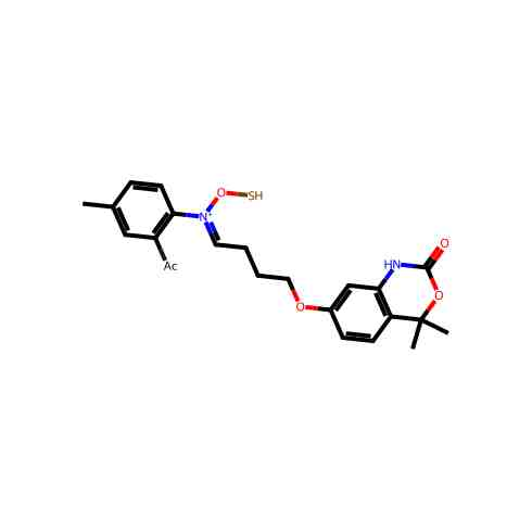 CC(=O)c1cc(C)ccc1[N+](=CCCCOc1ccc2c(c1)NC(=O)OC2(C)C)OS